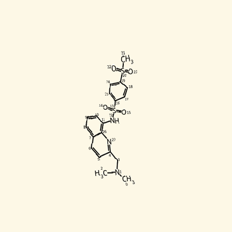 CN(C)Cc1ccc2cccc(NS(=O)(=O)c3ccc(S(C)(=O)=O)cc3)c2n1